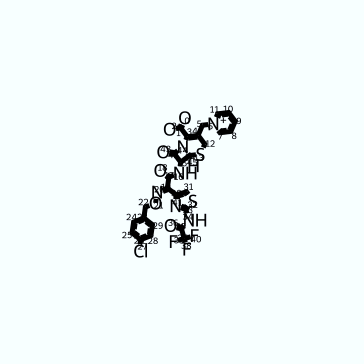 O=C([O-])C1=C(C[n+]2ccccc2)CS[C@@H]2C(NC(=O)/C(=N/OCc3ccc(Cl)cc3)c3csc(NC(=O)C(F)(F)F)n3)C(=O)N12